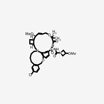 COC1CN(C(=O)N[S@@]2(=O)=NC(=O)C(C)(C)OC/C=C/[C@H](OC)[C@@H]3CC[C@H]3CN3CCCCc4cc(Cl)ccc4COc4ccc2cc43)C1